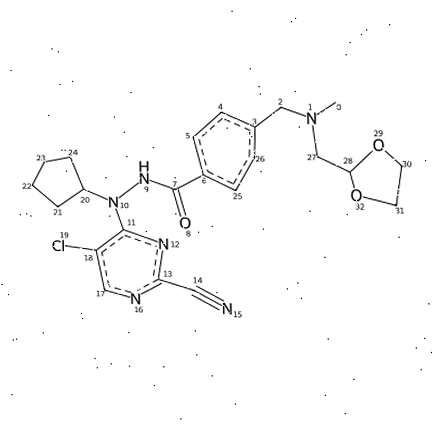 CN(Cc1ccc(C(=O)NN(c2nc(C#N)ncc2Cl)C2CCCC2)cc1)CC1OCCO1